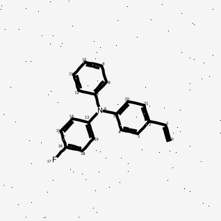 C=Cc1ccc(N(c2ccccc2)c2ccc(F)cc2)cc1